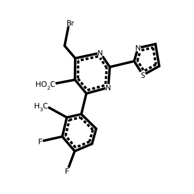 Cc1c(-c2nc(-c3nccs3)nc(CBr)c2C(=O)O)ccc(F)c1F